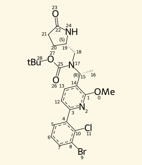 COc1nc(-c2cccc(Br)c2Cl)ccc1[C@@H](C)N(C[C@@H]1CCC(=O)N1)C(=O)OC(C)(C)C